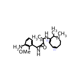 COc1c(N)cccc1C1N[C@@]12OC2[C@@H](C)N/C1=C/C=C\CCN(C)C1C